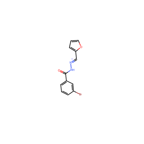 O=C(N/N=C/c1ccco1)c1cccc(Br)c1